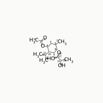 CC(=O)OC1CC(C)CCC1C(C)C.CC(O)C(=O)O